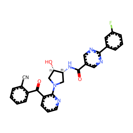 N#Cc1ccccc1C(=O)c1cccnc1N1C[C@H](O)[C@H](NC(=O)c2cnc(-c3cccc(F)c3)nc2)C1